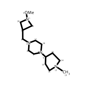 CON1CC(CN2CCN(C3CCN(C)CC3)CC2)C1